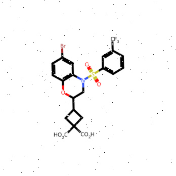 O=C(O)C1(C(=O)O)CC(C2CN(S(=O)(=O)c3cccc(C(F)(F)F)c3)c3cc(Br)ccc3O2)C1